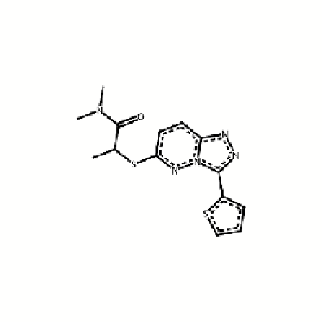 CC(Sc1ccc2nnc(-c3cccs3)n2n1)C(=O)N(C)C